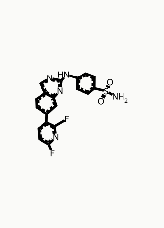 NS(=O)(=O)c1ccc(Nc2ncc3ccc(-c4ccc(F)nc4F)cc3n2)cc1